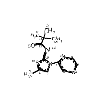 Cc1cn(-c2cnccn2)c(=NC(=O)C(C)(C)C)s1